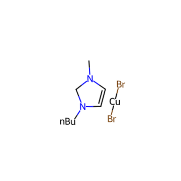 CCCCN1C=CN(C)C1.[Br][Cu][Br]